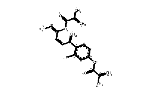 C=C(C)C(=O)OC(/C=C\C(=C)c1ccc(OC(=O)C(=C)C)cc1F)=C/C